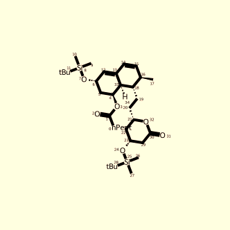 CCCCCC(=O)O[C@H]1C[C@H](O[Si](C)(C)C(C)(C)C)C=C2C=C[C@@H](C)[C@H](CC[C@H]3C[C@@H](O[Si](C)(C)C(C)(C)C)CC(=O)O3)[C@H]21